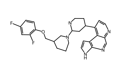 Fc1ccc(OCC2CCCN(C3CC(c4ccnc5cnc6[nH]ccc6c45)CC[N]3)C2)c(F)c1